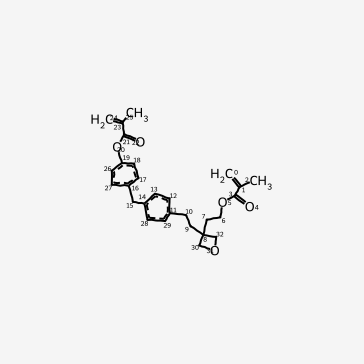 C=C(C)C(=O)OCCC1(CCc2ccc(Cc3ccc(OC(=O)C(=C)C)cc3)cc2)COC1